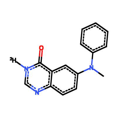 [2H]n1cnc2ccc(N(C)c3ccccc3)cc2c1=O